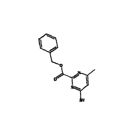 Cc1cc(S)nc(C(=O)OCc2ccccc2)n1